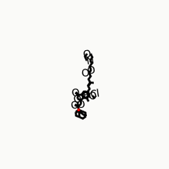 COc1c(C/C=C(\C)CCC(=O)OCCN2CCOCC2)cc2c(c1C)C(OC(=O)C1C3CC4CC(C3)CC1C4)OC2=O.Cl